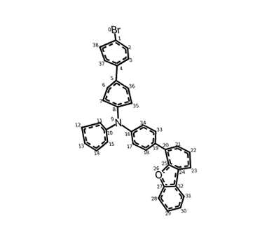 Brc1ccc(-c2ccc(N(c3ccccc3)c3ccc(-c4cccc5c4oc4ccccc45)cc3)cc2)cc1